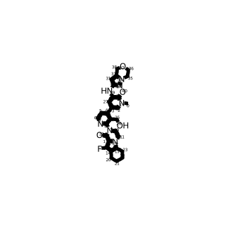 Cn1cc(-c2ccnc(-n3ccn4c5c(c(F)c4c3=O)CCCC5)c2CO)cc(Nc2cc3n(n2)CCOC3)c1=O